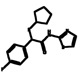 O=C(Nc1nccs1)C(SC1CCCC1)c1ccc(F)cc1